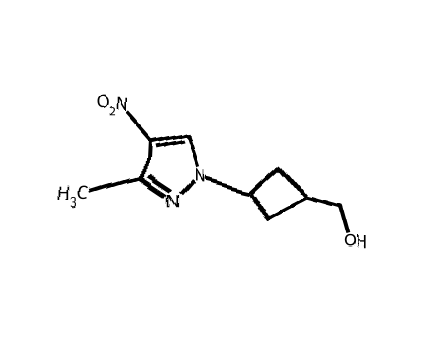 Cc1nn(C2CC(CO)C2)cc1[N+](=O)[O-]